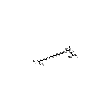 CC(C)CCCCCCCCCCCCCCCOC(=O)C(C)OC(=O)C(C)O